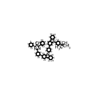 C=N/C(=N\C(=N/Cc1ccccc1)c1cccc(-c2ccc3c4ccccc4n(-c4ccc(-c5ccc6c7ccccc7n(-c7ccc(C(C)(C)C)cc7)c6c5)cc4)c3c2)c1)c1ccccc1